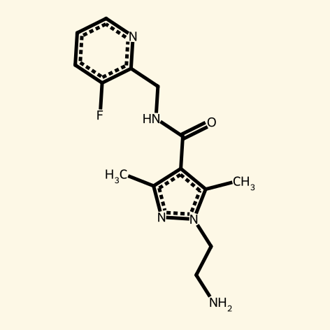 Cc1nn(CCN)c(C)c1C(=O)NCc1ncccc1F